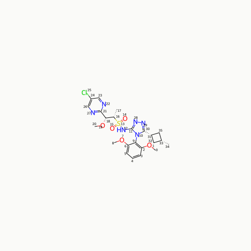 COc1cccc(OC)c1-n1c(NS(=O)(=O)[C@@H](C)[C@H](OC)c2ncc(Cl)cn2)nnc1[C@H]1C[C@@H](C)C1